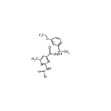 CCC(=O)Nc1nc(C)cc(C(=O)NC(C)c2cccc(OCC(F)(F)F)c2)n1